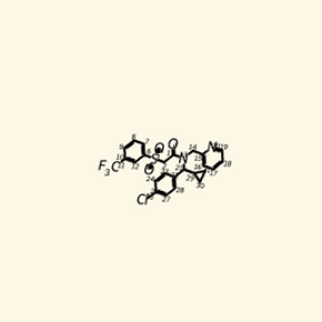 O=C(CS(=O)(=O)c1cccc(C(F)(F)F)c1)N(Cc1ccccn1)C(c1ccc(Cl)cc1)C1CC1